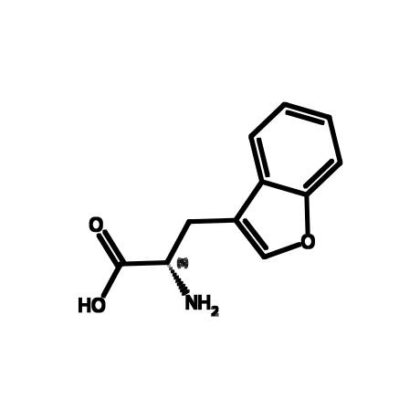 N[C@@H](Cc1coc2ccccc12)C(=O)O